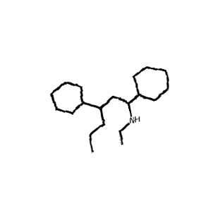 CCCC(CC(NCC)C1CCCCC1)C1CCCCC1